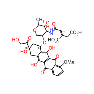 COc1cccc2c1C(=O)c1c(O)c3c(c(O)c1C2=O)C[C@@](O)(C(=O)CO)C[C@@H]3OC1COC(C)C(O)C1NC(=O)/C=C(/CC(=O)O)C(=O)O